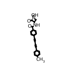 Cc1ccc(C#CC#Cc2ccc(C(=O)NC3CN(O)C3=O)cc2)cc1